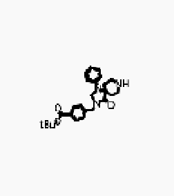 CC(C)(C)OC(=O)c1ccc(CN2CN(c3ccccc3)C3(CCNCC3)C2=O)cc1